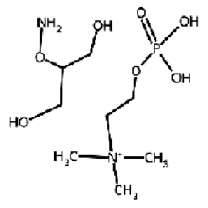 C[N+](C)(C)CCOP(=O)(O)O.NOC(CO)CO